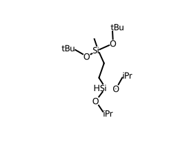 CC(C)O[SiH](CC[Si](C)(OC(C)(C)C)OC(C)(C)C)OC(C)C